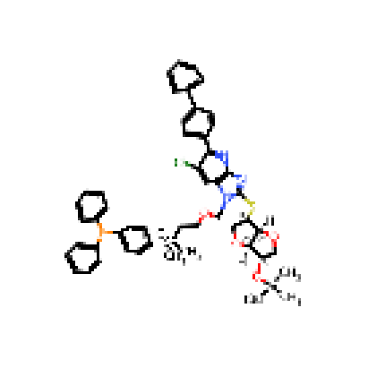 CC(C)(C)[Si](C)(C)O[C@@H]1CO[C@H]2[C@@H]1OC[C@H]2Sc1nc2nc(-c3ccc(-c4ccccc4)cc3)c(Cl)cc2n1COCC[Si](C)(C)C.c1ccc(P(c2ccccc2)c2ccccc2)cc1